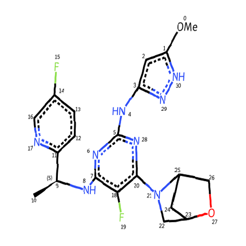 COc1cc(Nc2nc(N[C@@H](C)c3ccc(F)cn3)c(F)c(N3CC4CC3CO4)n2)n[nH]1